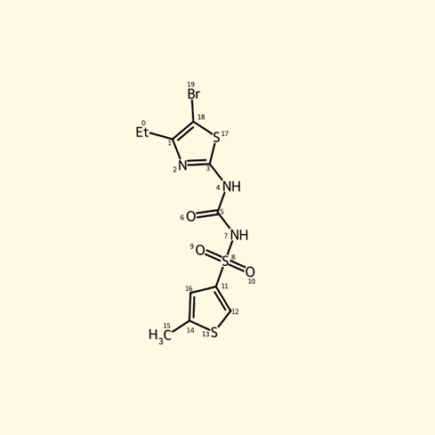 CCc1nc(NC(=O)NS(=O)(=O)c2csc(C)c2)sc1Br